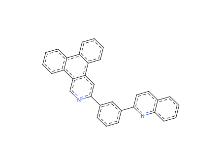 c1cc(-c2cc3c4ccccc4c4ccccc4c3cn2)cc(-c2ccc3ccccc3n2)c1